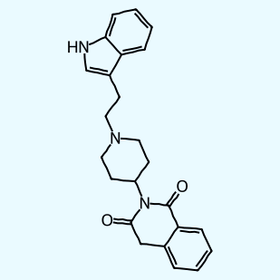 O=C1Cc2ccccc2C(=O)N1C1CCN(CCc2c[nH]c3ccccc23)CC1